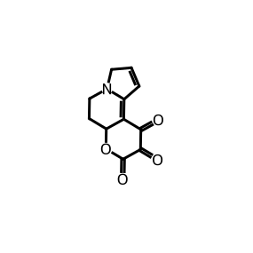 O=C1OC2CCN3CC=CC3=C2C(=O)C1=O